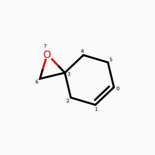 C1=CCC2(CC1)CO2